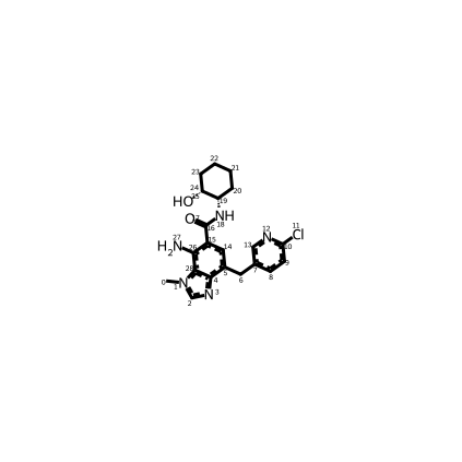 Cn1cnc2c(Cc3ccc(Cl)nc3)cc(C(=O)N[C@H]3CCCC[C@H]3O)c(N)c21